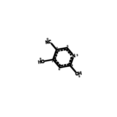 N#Cc1cnc(O)cc1O